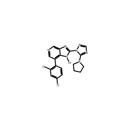 CCn1c(-n2ncnc2N2CCCC2)nc2cncc(-c3ccc(Cl)cc3Cl)c21